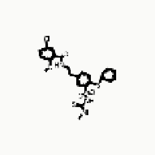 CNC(=S)NS(=O)(=O)c1cc(CCNC(=O)c2cc(Cl)ccc2OC)ccc1Sc1ccccc1